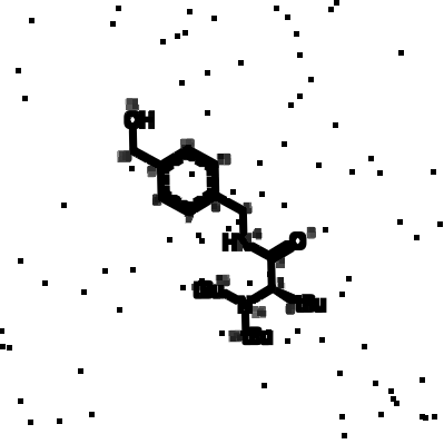 CC(C)(C)[C@H](C(=O)NCc1ccc(CO)cc1)N(C(C)(C)C)C(C)(C)C